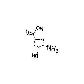 NC1CC(C(=O)O)CC1O